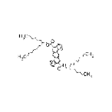 CCCCCCCCC(CCCCCC)COC(=O)c1cc2cc3c(cc(C(=O)OCC(CCCCCC)CCCCCCCC)c4ccsc43)cc2c2sccc12